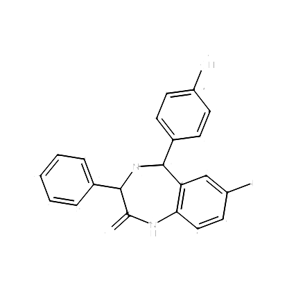 O=C1Nc2ccc(I)cc2C(c2ccc(O)cc2)NC1c1ccccc1